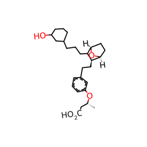 C[C@H](CC(=O)O)Oc1cccc(CC[C@H]2C(CCCC3CCCC(O)C3)[C@H]3CC[C@@H]2O3)c1